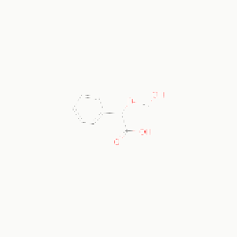 O=C(O)C(OCO)c1ccccc1